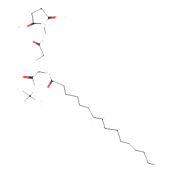 CCCCCCCCCCCCCCCC(=O)N[C@@H](CCC(=O)ON1C(=O)CCC1=O)C(=O)OC(C)(C)C